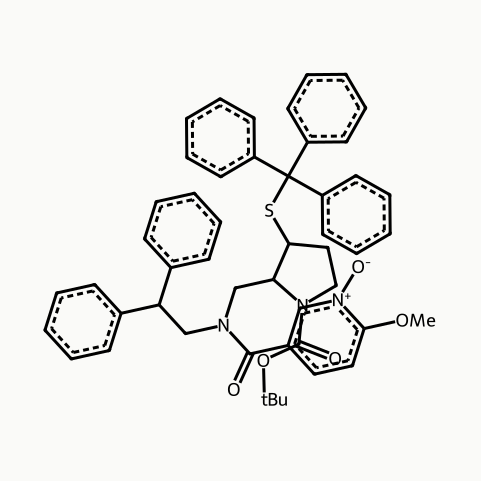 COc1ccc(C(=O)N(CC(c2ccccc2)c2ccccc2)CC2C(SC(c3ccccc3)(c3ccccc3)c3ccccc3)CCN2C(=O)OC(C)(C)C)c[n+]1[O-]